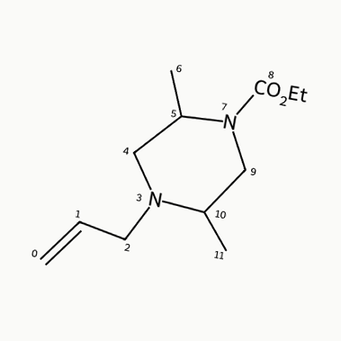 C=CCN1CC(C)N(C(=O)OCC)CC1C